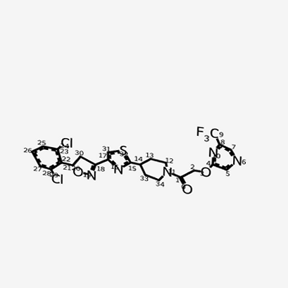 O=C(COc1cncc(C(F)(F)F)n1)N1CCC(c2nc(C3=NOC(c4c(Cl)cccc4Cl)C3)cs2)CC1